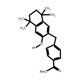 COC(=O)c1ccc(Cc2cc3c(cc2OC(C)C)C(C)(C)CCC3(C)C)cc1